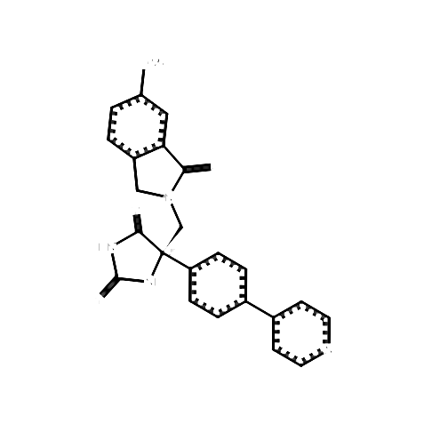 COc1ccc2c(c1)C(=O)N(C[C@@]1(c3ccc(-c4ccncc4)cc3)NC(=O)NC1=O)C2